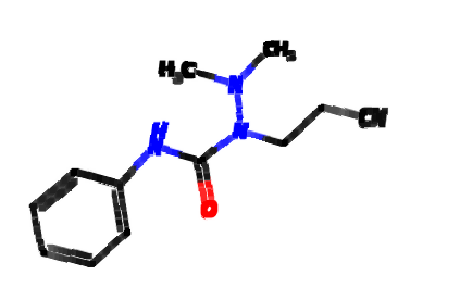 CN(C)N(CCC#N)C(=O)Nc1ccccc1